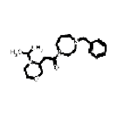 CC(C)N1CCOCC1CC(=O)N1CCCN(Cc2ccccc2)CC1